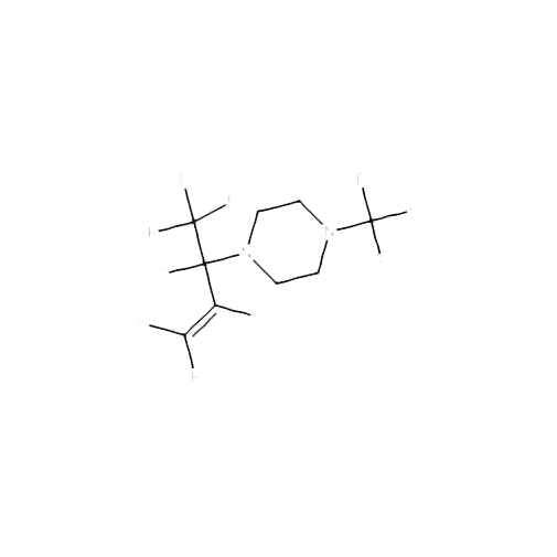 FC(F)=C(F)C(F)(N1CCN(C(F)(F)F)CC1)C(F)(F)F